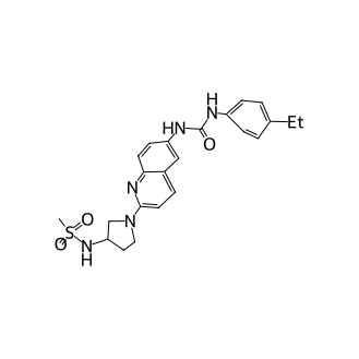 CCc1ccc(NC(=O)Nc2ccc3nc(N4CCC(NS(C)(=O)=O)C4)ccc3c2)cc1